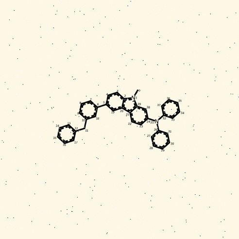 Cn1c2ccc(-c3cccc(Cc4ccccc4)c3)cc2c2ccc(N(c3ccccc3)c3ccccc3)cc21